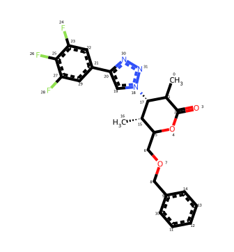 CC1C(=O)OC(COCc2ccccc2)[C@H](C)[C@@H]1n1cc(-c2cc(F)c(F)c(F)c2)nn1